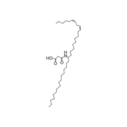 CCCCC/C=C\C/C=C\CCCCCCCCC(CCCCCCCCCCCCCCCC)NC(=O)CC(=O)O